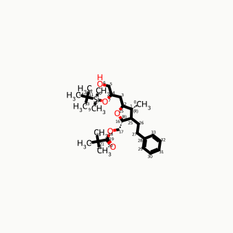 C[C@H]1C(CC(CO)O[Si](C)(C)C(C)(C)C)O[C@@H](COC(=O)C(C)(C)C)C1CCc1ccccc1